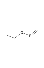 C=POCC